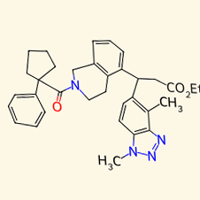 CCOC(=O)CC(c1cccc2c1CCN(C(=O)C1(c3ccccc3)CCCC1)C2)c1ccc2c(nnn2C)c1C